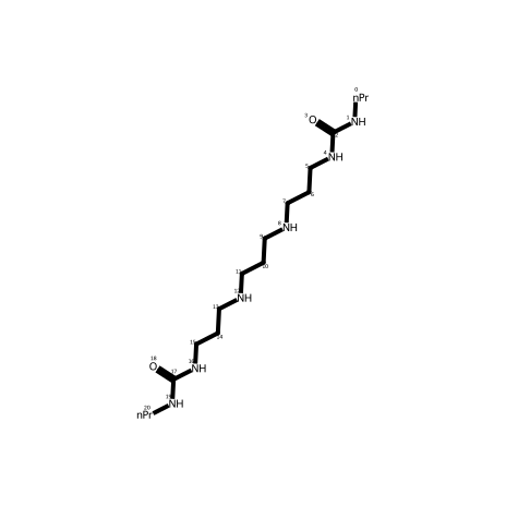 CCCNC(=O)NCCCNCCCNCCCNC(=O)NCCC